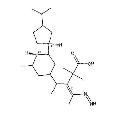 C/C(N=N)=C(\C(C)C1CC(C)[C@@H]2C3CC(C(C)C)C[C@H]3C2C1)C(C)(C)C(=O)O